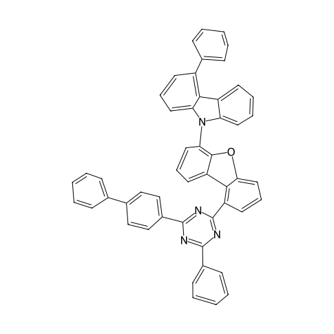 c1ccc(-c2ccc(-c3nc(-c4ccccc4)nc(-c4cccc5oc6c(-n7c8ccccc8c8c(-c9ccccc9)cccc87)cccc6c45)n3)cc2)cc1